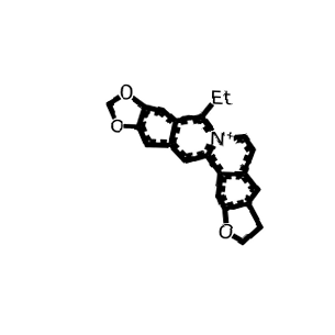 CCc1c2cc3c(cc2cc2c4cc5c(cc4cc[n+]12)CCO5)OCO3